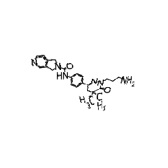 CC1(C)CC(c2ccc(NC(=O)N3Cc4ccncc4C3)cc2)=NN(CCCN)C1=O